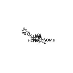 COC(=O)C[C@H]1CC[C@@H]2O[C@H]3[C@@H](O)[C@@H](CCOCc4ccccc4)O[C@H]3[C@@H](O)[C@H]2O1